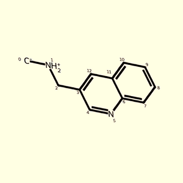 [CH2-][NH2+]Cc1cnc2ccccc2c1